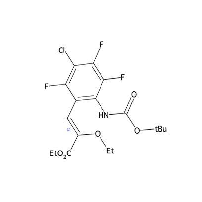 CCOC(=O)/C(=C/c1c(F)c(Cl)c(F)c(F)c1NC(=O)OC(C)(C)C)OCC